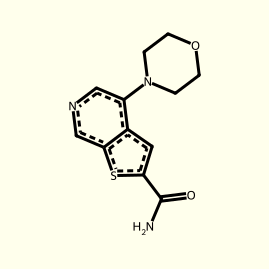 NC(=O)c1cc2c(N3CCOCC3)cncc2s1